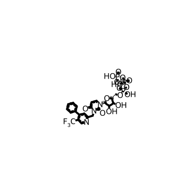 O=c1ccn([C@@H]2O[C@H](COP(=O)(O)OP(=O)(O)OP(=O)(O)O)C(O)C2O)c(=O)n1Cc1cc(-c2ccccc2)c(C(F)(F)F)cn1